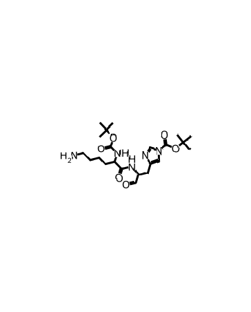 CC(C)(C)OC(=O)NC(CCCCN)C(=O)NC(C=O)Cc1cn(C(=O)OC(C)(C)C)cn1